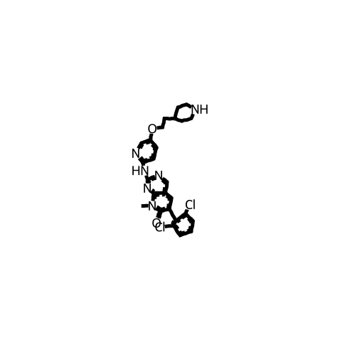 Cn1c(=O)c(-c2c(Cl)cccc2Cl)cc2cnc(Nc3ccc(OCCC4CCNCC4)cn3)nc21